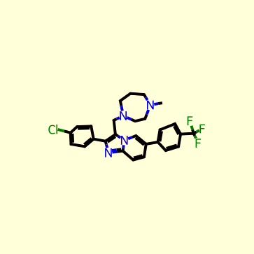 CN1CCCN(Cc2c(-c3ccc(Cl)cc3)nc3ccc(-c4ccc(C(F)(F)F)cc4)cn23)CC1